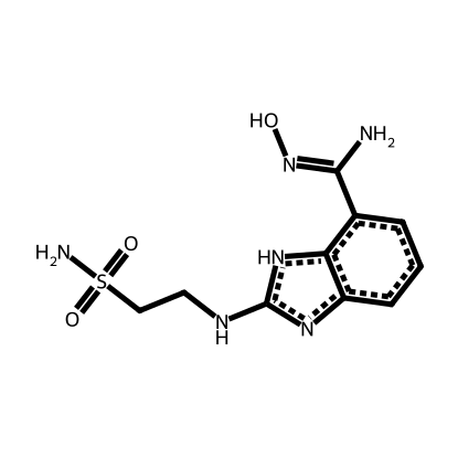 NC(=NO)c1cccc2nc(NCCS(N)(=O)=O)[nH]c12